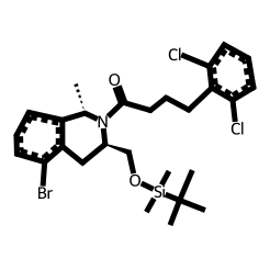 C[C@H]1c2cccc(Br)c2C[C@H](CO[Si](C)(C)C(C)(C)C)N1C(=O)CCCc1c(Cl)cccc1Cl